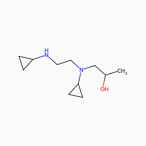 CC(O)CN(CCNC1CC1)C1CC1